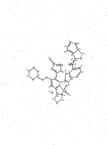 O=c1cc(-c2c(CCC3CCOCC3)nc3c(c2-c2cc4ccnc(N[C@@H]5CCc6ncccc65)c4s2)S(=O)(=O)N2CCC[C@@H]32)o[nH]1